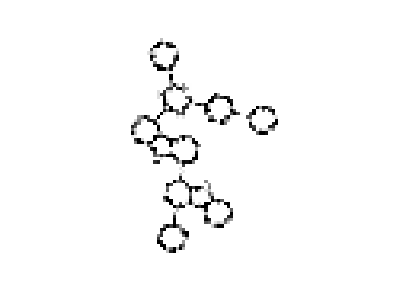 c1ccc(-c2ccc(-c3nc(-c4ccccc4)nc(-c4cccc5oc6c(-c7ccc(-c8ccccc8)c8c7oc7ccccc78)cccc6c45)n3)cc2)cc1